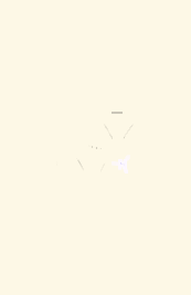 CCCN(Cc1ccccc1)c1ccc(C)cc1